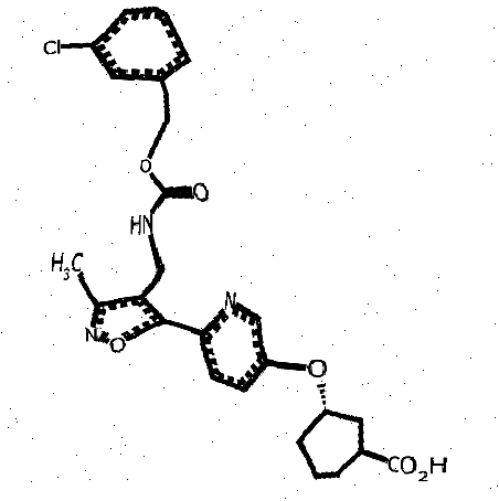 Cc1noc(-c2ccc(O[C@H]3CCCC(C(=O)O)C3)cn2)c1CNC(=O)OCc1cccc(Cl)c1